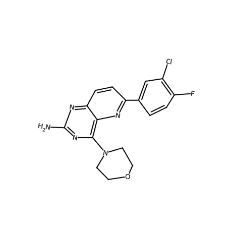 Nc1nc(N2CCOCC2)c2nc(-c3ccc(F)c(Cl)c3)ccc2n1